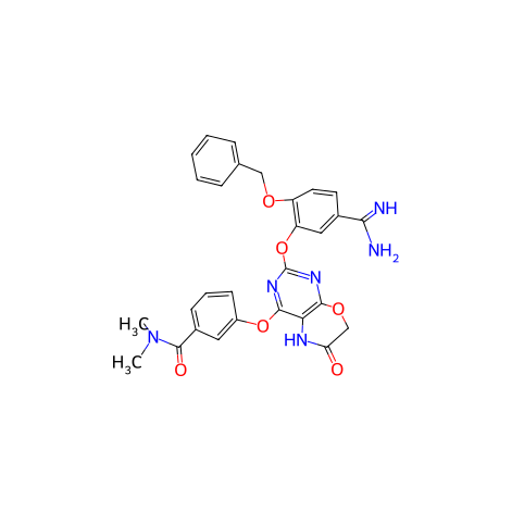 CN(C)C(=O)c1cccc(Oc2nc(Oc3cc(C(=N)N)ccc3OCc3ccccc3)nc3c2NC(=O)CO3)c1